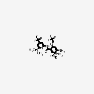 CN(C)c1cc(C(F)(F)F)cc(NC(=O)C2=CC(N)([N+](=O)[O-])C(N)=CC2OCC(F)(F)F)n1